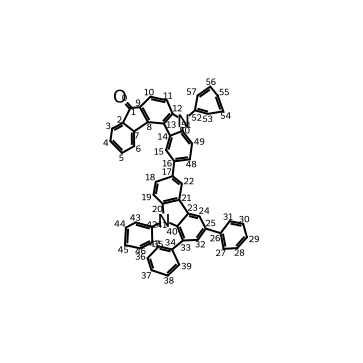 O=C1c2ccccc2-c2c1ccc1c2c2cc(-c3ccc4c(c3)c3cc(-c5ccccc5)cc(-c5ccccc5)c3n4-c3ccccc3)ccc2n1-c1ccccc1